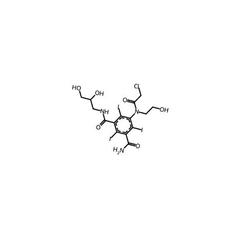 NC(=O)c1c(I)c(C(=O)NCC(O)CO)c(I)c(N(CCO)C(=O)CCl)c1I